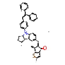 C=C1C(=Cc2ccc3c(c2)C2CCCC2N3c2ccc(C=C(c3ccccc3)c3ccccc3)cc2)C(=O)c2cc(C)sc21